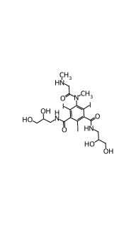 CNCC(=O)N(C)c1c(I)c(C(=O)NCC(O)CO)c(I)c(C(=O)NCC(O)CO)c1I